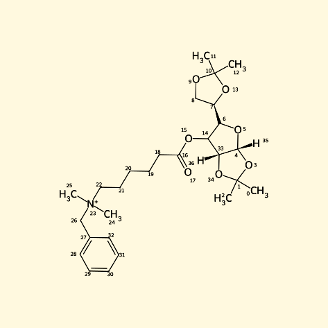 CC1(C)O[C@H]2OC([C@H]3COC(C)(C)O3)C(OC(=O)CCCCC[N+](C)(C)Cc3ccccc3)[C@H]2O1